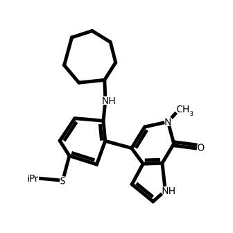 CC(C)Sc1ccc(NC2CCCCCC2)c(-c2cn(C)c(=O)c3[nH]ccc23)c1